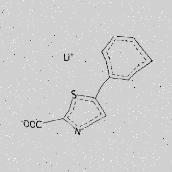 O=C([O-])c1ncc(-c2ccccc2)s1.[Li+]